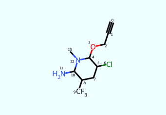 C#CCOC1C(Cl)CC(C(F)(F)F)C(N)N1C